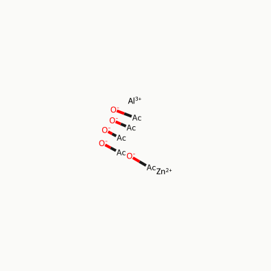 CC(=O)[O-].CC(=O)[O-].CC(=O)[O-].CC(=O)[O-].CC(=O)[O-].[Al+3].[Zn+2]